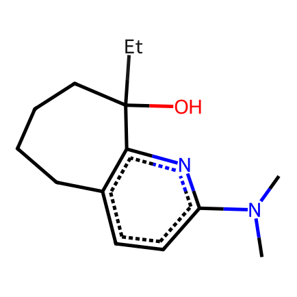 CCC1(O)CCCCc2ccc(N(C)C)nc21